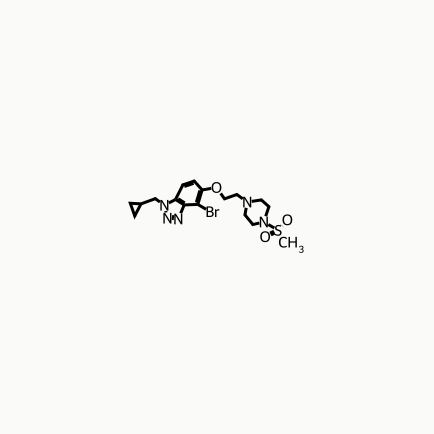 CS(=O)(=O)N1CCN(CCOc2ccc3c(nnn3CC3CC3)c2Br)CC1